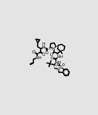 C=CCNC(=O)C(=O)C(CC1CC1)NC(=O)[C@@H]1CCCN1C(=O)[C@@H](NC(=O)N[C@H](CN1Cc2ccccc2S1(=O)=O)C(C)(C)C)C1(C)CCCCC1